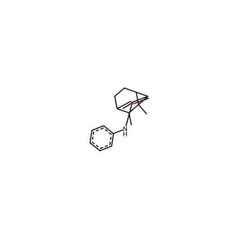 CC1C2=C(Nc3ccccc3)C=C3C(CC2)C31C